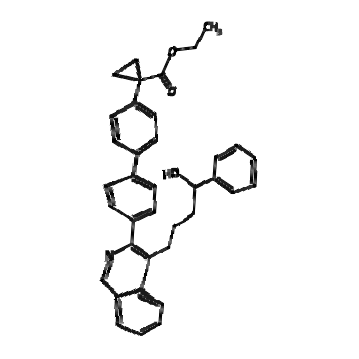 CCOC(=O)C1(c2ccc(-c3ccc(-c4ncc5ccccc5c4CCCC(O)c4ccccc4)cc3)cc2)CC1